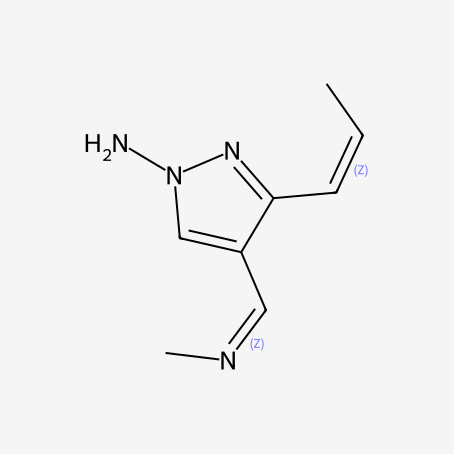 C/C=C\c1nn(N)cc1/C=N\C